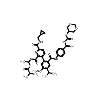 COc1cc(-c2ccc(C(=O)NCC3CC3)nc2C(=O)OC(C)OC(=O)C(C)C)c(C(=O)Nc2ccc(C(=N)NC(=O)OC3COCOC3)cc2)cc1C(C)C